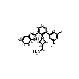 Cc1cc(F)cc(-c2cncc(-c3nc4cc(F)ccc4[nH]3)c2N2CC(CN)C2)c1